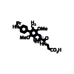 CC/C(=C\c1c(C)c(OC)c(-c2ccc(NC(C)C)cc2)c(C)c1OC)C(=O)NCCC(=O)O